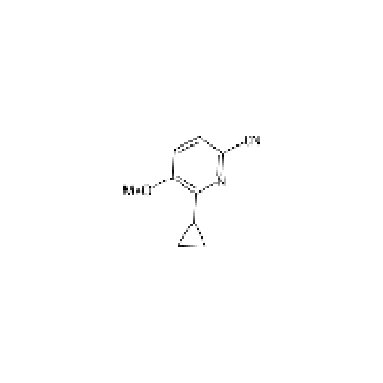 COc1ccc(C#N)nc1C1CC1